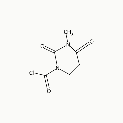 CN1C(=O)CCN(C(=O)Cl)C1=O